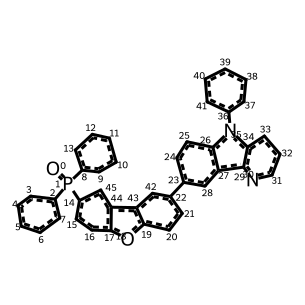 O=P(c1ccccc1)(c1ccccc1)c1ccc2oc3ccc(-c4ccc5c(c4)c4ncccc4n5-c4ccccc4)cc3c2c1